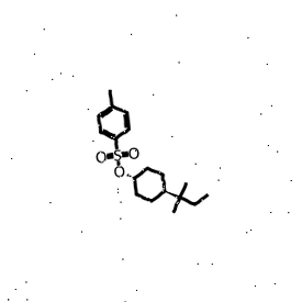 CCC(C)(C)[C@H]1CC[C@H](OS(=O)(=O)c2ccc(C)cc2)CC1